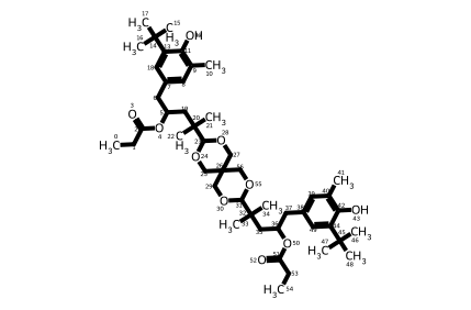 CCC(=O)OC(Cc1cc(C)c(O)c(C(C)(C)C)c1)CC(C)(C)C1OCC2(CO1)COC(C(C)(C)CC(Cc1cc(C)c(O)c(C(C)(C)C)c1)OC(=O)CC)OC2